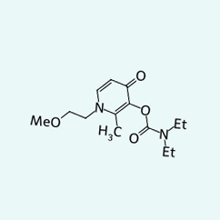 CCN(CC)C(=O)Oc1c(C)n(CCOC)ccc1=O